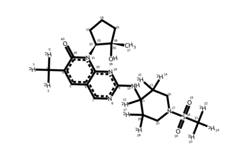 [2H]C([2H])([2H])c1cc2cnc(NC3([2H])C([2H])([2H])CN(S(=O)(=O)C([2H])([2H])[2H])CC3([2H])[2H])nc2n([C@H]2CCC[C@]2(C)O)c1=O